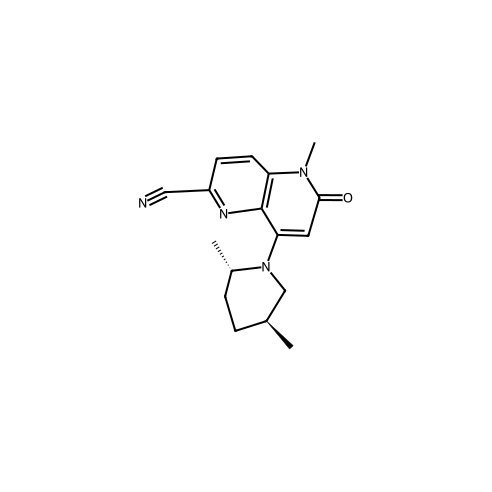 C[C@H]1CC[C@H](C)N(c2cc(=O)n(C)c3ccc(C#N)nc23)C1